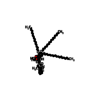 CCCCCCCCCCCCCCCCCCOc1cc(CC(CC(=O)O)(C(=O)O)[C@]2(O)C[C@H](N3C=C(C)C(N)(C(=O)c4ccccc4)NC3=O)O[C@@H]2CO)cc(OCCCCCCCCCCCCCCCCCC)c1OCCCCCCCCCCCCCCCCCC